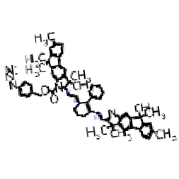 Cc1ccc2c(c1)C(C)(C)c1cc3c(cc1-2)C(C)(C)C(/C=C/C1=C(c2ccccc2)C(=C/C=C2/N(C(=O)OCc4ccc(N=[N+]=[N-])cc4)c4cc5c(cc4C2(C)C)-c2ccc(C)cc2C5(C)C)/CCC1)=N3